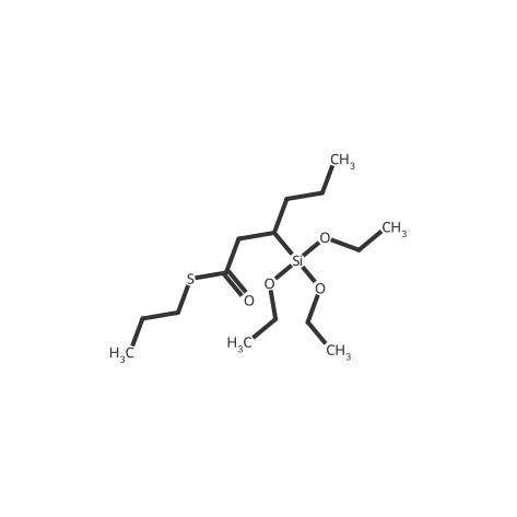 CCCSC(=O)CC(CCC)[Si](OCC)(OCC)OCC